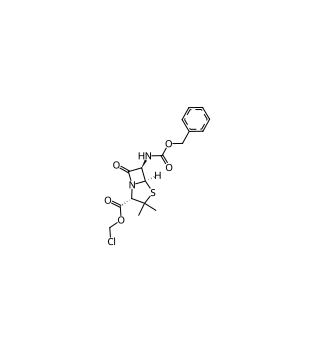 CC1(C)S[C@@H]2[C@H](NC(=O)OCc3ccccc3)C(=O)N2[C@H]1C(=O)OCCl